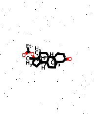 CCC(=O)OC1(C)CC[C@H]2[C@@H]3CCC4CC(=O)CC[C@]4(C)[C@@H]3CC[C@@]21C